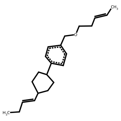 CC=CCCOCc1ccc(C2CCC(C=CCC)CC2)cc1